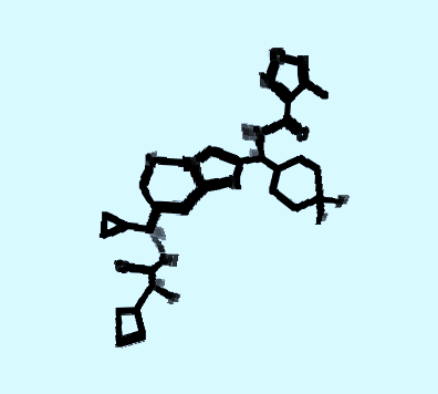 Cc1nonc1C(=O)N[C@H](c1cn2ncc([C@H](NC(=O)[C@@H](F)C3CCC3)C3CC3)cc2n1)C1CCC(F)(F)CC1